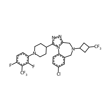 Fc1ccc(N2CCC(c3nnc4n3-c3ccc(Cl)cc3CN(C3CC(C(F)(F)F)C3)C4)CC2)c(F)c1C(F)(F)F